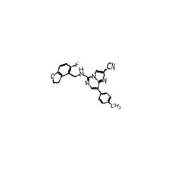 Cc1ccc(-c2cnc(NCc3c(F)ccc4c3CCO4)n3cc(C#N)nc23)cc1